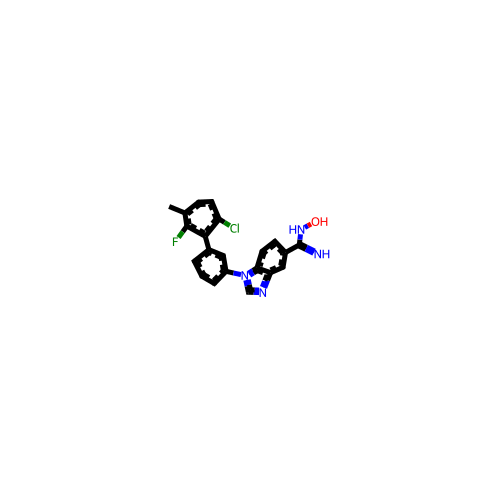 Cc1ccc(Cl)c(-c2cccc(-n3cnc4cc(C(=N)NO)ccc43)c2)c1F